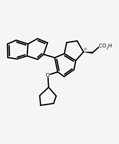 O=C(O)C[C@@H]1CCc2c1ccc(OC1CCCC1)c2-c1ccc2ccccc2c1